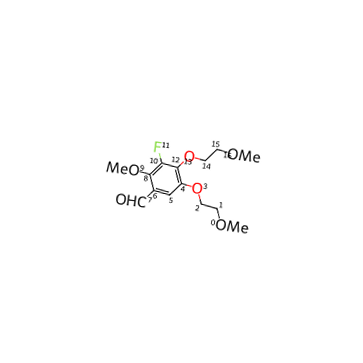 COCCOc1cc(C=O)c(OC)c(F)c1OCCOC